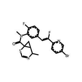 CC1N=CSC2(C(=O)N(C)c3cc(/C=C(\F)c4ccc(Br)cn4)ccc3F)CC12